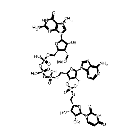 COC[C@H]1[C@@H](O)[C@H](n2c[n+](C)c3c(=O)[nH]c(N)nc32)O[C@@H]1COP(=O)(O)OP(=O)(O)OP(=O)(O)OC[C@H]1O[C@@H](n2cnc3c(N)ncnc32)[C@H](F)[C@@H]1OP(=O)([O-])OC[C@H]1O[C@@H](n2ccc(=O)[nH]c2=O)[C@H](O)[C@@H]1O